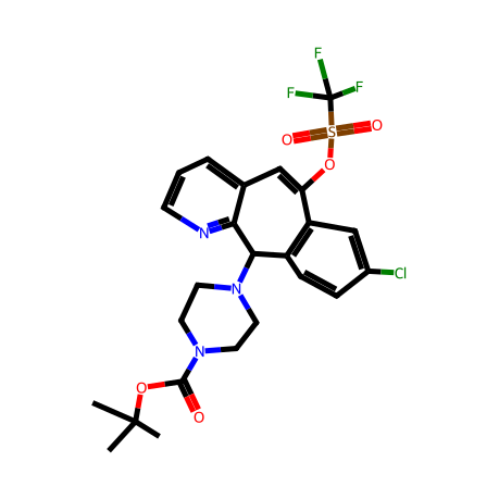 CC(C)(C)OC(=O)N1CCN(C2c3ccc(Cl)cc3C(OS(=O)(=O)C(F)(F)F)=Cc3cccnc32)CC1